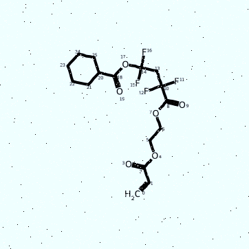 C=CC(=O)OCCOC(=O)C(F)(F)CC(F)(F)OC(=O)C1CCCCC1